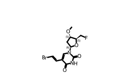 CO[C@H]1C[C@H](n2cc(C=CBr)c(=O)[nH]c2=O)O[C@@H]1CF